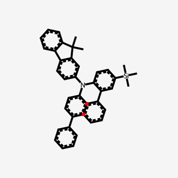 CC1(C)c2ccccc2-c2ccc(N(c3ccc(-c4ccccc4)cc3)c3ccc([Si](C)(C)C)cc3-c3ccccc3)cc21